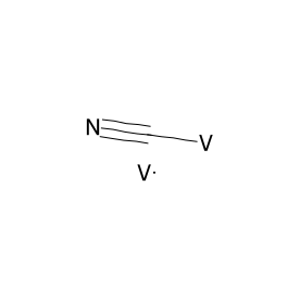 N#[C][V].[V]